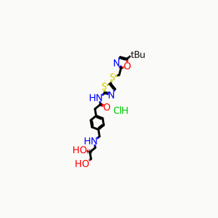 CC(C)(C)c1cnc(CSc2cnc(NC(=O)Cc3ccc(CNC[C@H](O)CO)cc3)s2)o1.Cl